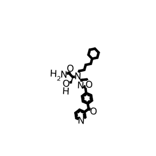 NC(=O)[C@H](CO)N(CCCCC1CCCCC1)[C@@H]1COC(c2ccc(C(=O)c3cccnc3)cc2)=N1